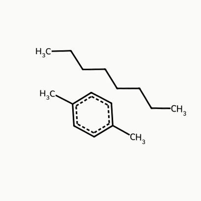 CCCCCCCC.Cc1ccc(C)cc1